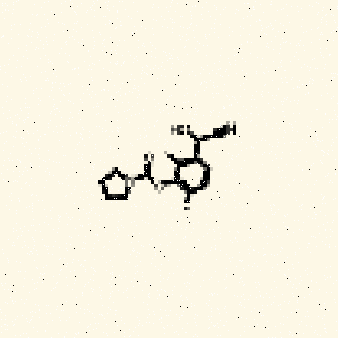 N#CC(O)c1ccc(F)c(OC(=O)N2CCCC2)c1F